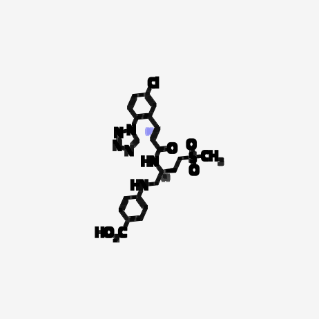 CS(=O)(=O)CC[C@@H](CNc1ccc(C(=O)O)cc1)NC(=O)/C=C/c1cc(Cl)ccc1-n1cnnn1